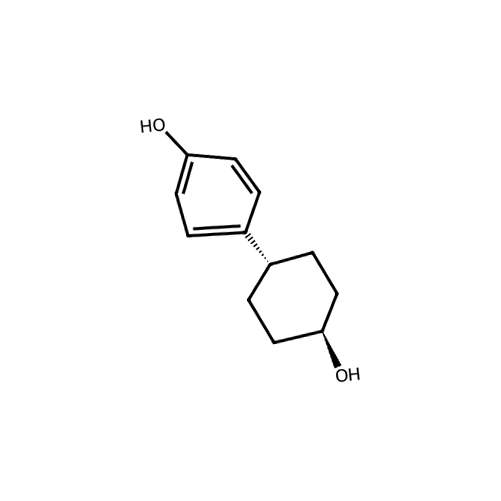 Oc1ccc([C@H]2CC[C@H](O)CC2)cc1